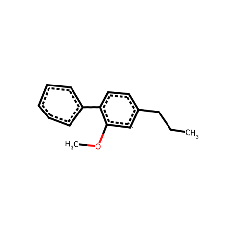 CCCc1[c]c(OC)c(-c2ccccc2)cc1